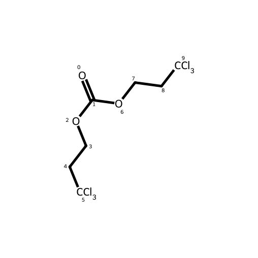 O=C(OCCC(Cl)(Cl)Cl)OCCC(Cl)(Cl)Cl